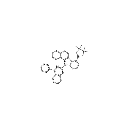 CC1(C)CB(c2cccc3c2c2ccc4ccccc4c2n3-c2nc(-c3ccccc3)c3ccccc3n2)CC1(C)C